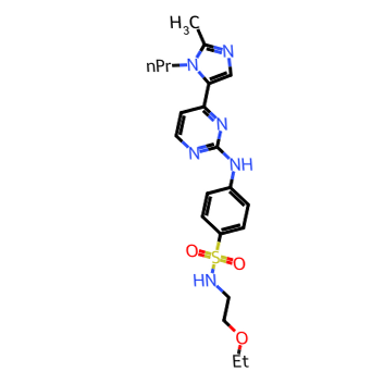 CCCn1c(-c2ccnc(Nc3ccc(S(=O)(=O)NCCOCC)cc3)n2)cnc1C